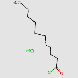 CCCCCCCCCCCCCCCCCC(=O)Cl.Cl